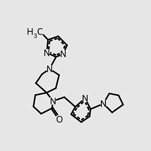 Cc1ccnc(N2CCC3(CCCC(=O)N3Cc3cccc(N4CCCC4)n3)CC2)n1